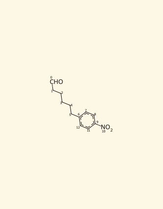 O=CCCCCCc1ccc([N+](=O)[O-])cc1